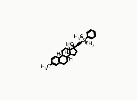 Cc1ccc2c(c1)CC[C@@H]1[C@@H]2CC[C@@]2(C)[C@H]1CC[C@@]2(O)C#C[Si](C)(C)c1ccccc1